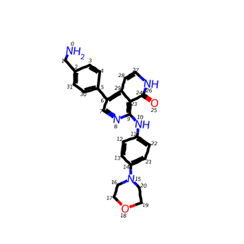 NCc1ccc(-c2cnc(Nc3ccc(N4CCOCC4)cc3)c3c(=O)[nH]ccc23)cc1